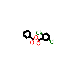 O=C(OC(=O)c1cc(Cl)ccc1Cl)c1ccccc1